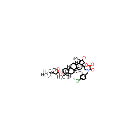 CC(C)C1=C2[C@H]3CC[C@@H]4[C@@]5(C)CC[C@H](OC(=O)CC(C)(C)C(=O)O)C(C)(C)[C@@H]5CC[C@@]4(C)[C@]3(C)CC[C@@]2([C@@H]2CN(Cc3ccc(Cl)cc3)C(=O)C(=O)O2)CC1=O